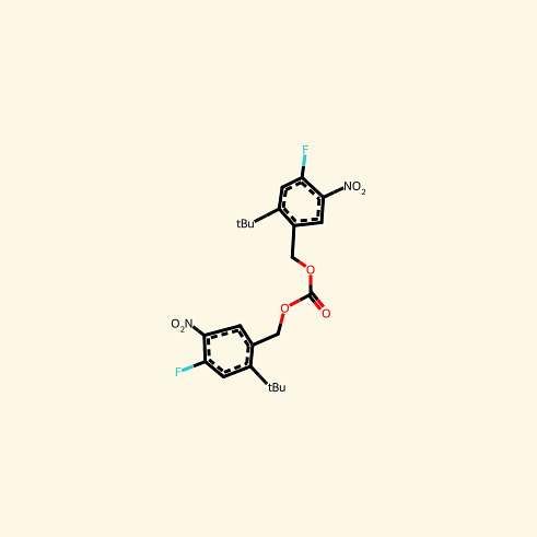 CC(C)(C)c1cc(F)c([N+](=O)[O-])cc1COC(=O)OCc1cc([N+](=O)[O-])c(F)cc1C(C)(C)C